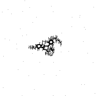 CC1Cc2c([nH]c3ccc(NO)cc23)C(c2c(F)cc(NC3CN(CCCF)C3)cc2F)N1CC(F)(F)CO